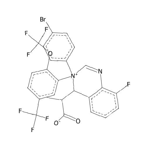 CC(C(=O)[O-])C1c2cccc(F)c2N=C[N+]1(c1ccc(Br)cc1)c1cc(C(F)(F)F)ccc1OC(F)(F)F